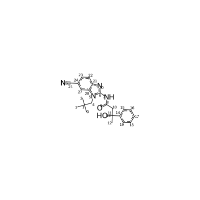 CC(C)(C)Cn1c(NC(=O)CC(C)(O)c2ccccc2)nc2ccc(C#N)cc21